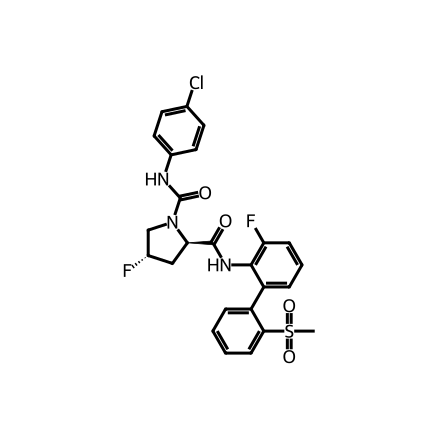 CS(=O)(=O)c1ccccc1-c1cccc(F)c1NC(=O)[C@H]1C[C@H](F)CN1C(=O)Nc1ccc(Cl)cc1